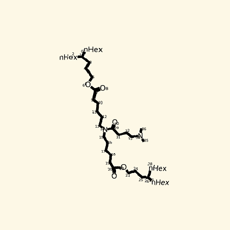 CCCCCCC(CCCCCC)CCCOC(=O)CCCCCN(CCCCCC(=O)OCCCC(CCCCCC)CCCCCC)C(=O)CCCN(C)C